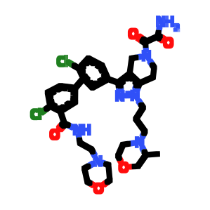 CC1COCCN1CCCn1nc(-c2ccc(Cl)c(-c3ccc(Cl)c(C(=O)NCCN4CCOCC4)c3)c2)c2c1CCN(C(=O)C(N)=O)C2